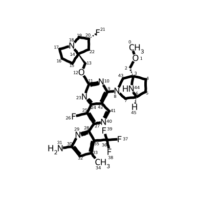 COC[C@@]12CC[C@@H](CN(c3nc(OC[C@@]45CCCN4C[C@H](F)C5)nc4c(F)c(-c5nc(N)cc(C)c5C(F)(F)F)ncc34)C1)N2